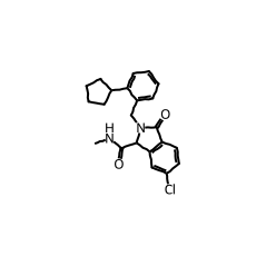 CNC(=O)C1c2cc(Cl)ccc2C(=O)N1Cc1ccccc1C1CCCC1